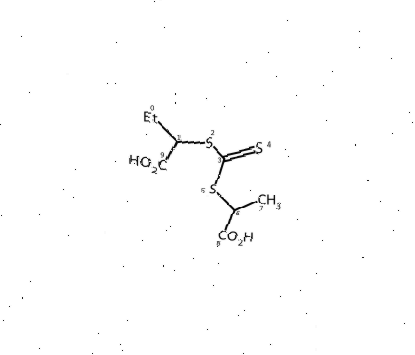 CCC(SC(=S)SC(C)C(=O)O)C(=O)O